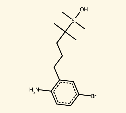 CC(C)(CCCc1cc(Br)ccc1N)[Si](C)(C)O